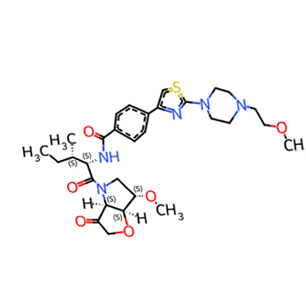 CC[C@H](C)[C@H](NC(=O)c1ccc(-c2csc(N3CCN(CCOC)CC3)n2)cc1)C(=O)N1C[C@H](OC)[C@H]2OCC(=O)[C@H]21